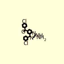 NNC1=Nc2ccc(C(=O)c3ccc(Cl)cc3)cc2C(c2cccc(Cl)c2)=NC1